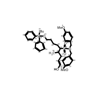 COc1ccc(CN(Cc2ccc(OC)cc2)S(=O)(=O)C(CCCCO[Si](c2ccccc2)(c2ccccc2)C(C)(C)C)C(C)CC=CO)cc1